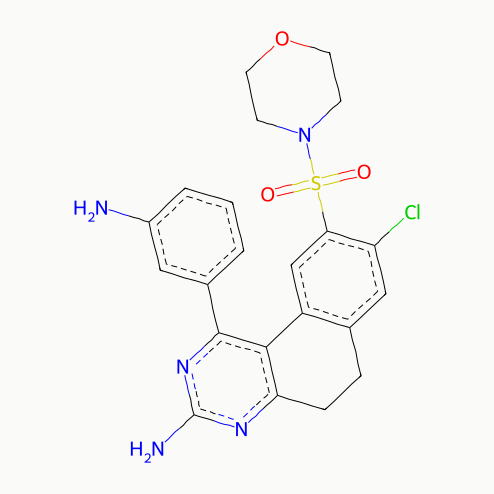 Nc1cccc(-c2nc(N)nc3c2-c2cc(S(=O)(=O)N4CCOCC4)c(Cl)cc2CC3)c1